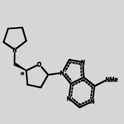 CNc1ncnc2c1ncn2C1CC[C@@H](CN2CCCC2)O1